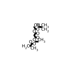 C=C(C)C(=O)OC(CC)OC(=O)CC(=O)OC(CC)OC(=O)C(=C)C